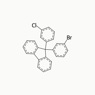 Clc1cccc(C2(c3cccc(Br)c3)c3ccccc3-c3ccccc32)c1